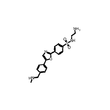 CNCc1ccc(-c2cnc(-c3ccc(S(=O)(=O)NCCN)cc3)o2)cc1